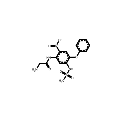 CS(=O)(=O)Nc1cc(NC(=O)CN)c([N+](=O)[O-])cc1Oc1ccccc1